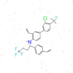 C=Cc1ccc(C(CCC(F)(F)F)N(C)c2ccc(-c3ccc(C(C)(C)F)c(Cl)c3)cc2C=C)cc1